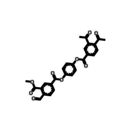 COC(=O)c1cc(C(=O)Oc2ccc(OC(=O)c3ccc(C(C)=O)c(C(C)=O)c3)cc2)ccc1C=O